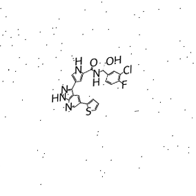 O=C(N[C@H](CO)c1ccc(F)c(Cl)c1)c1cc(-c2n[nH]c3ncc(-c4cccs4)cc23)c[nH]1